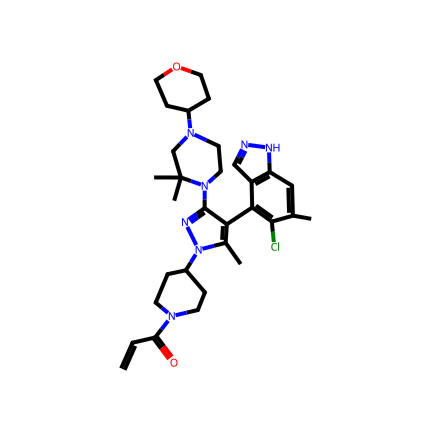 C=CC(=O)N1CCC(n2nc(N3CCN(C4CCOCC4)CC3(C)C)c(-c3c(Cl)c(C)cc4[nH]ncc34)c2C)CC1